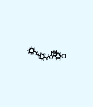 Clc1ccc2c(OCCC3CCN(CCc4ccccc4)CC3)noc2c1